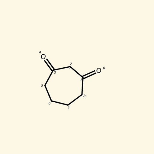 O=C1[CH]C(=O)CCCC1